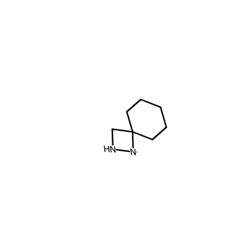 C1CCC2(CC1)CN[N]2